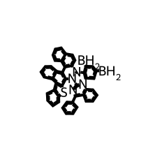 Bc1ccc(N2c3ccc4ccccc4c3-c3c(c4sc5ccccc5c4c4ccccc34)N2c2nc(-c3ccccc3)c3ccccc3n2)c(B)c1